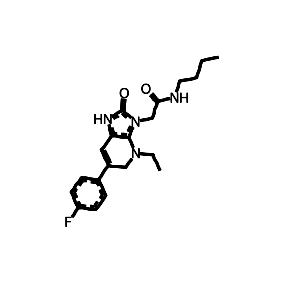 CCCCNC(=O)Cn1c2c([nH]c1=O)C=C(c1ccc(F)cc1)CN2CC